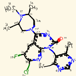 CC(C)c1ncnc(C(C)C)c1-n1c(=O)nc(N2CC(C)N(C(=O)O)C(C)C2)c2cc(F)c(Cl)nc21